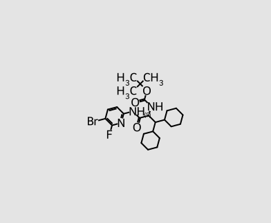 CC(C)(C)OC(=O)N[C@H](C(=O)Nc1ccc(Br)c(F)n1)C(C1CCCCC1)C1CCCCC1